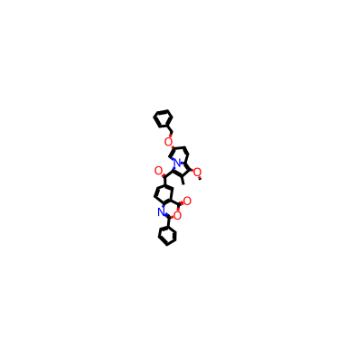 COc1c(C)c(C(=O)c2ccc3nc(-c4ccccc4)oc(=O)c3c2)n2cc(OCc3ccccc3)ccc12